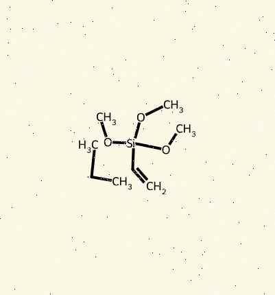 C=C[Si](OC)(OC)OC.C[CH]C